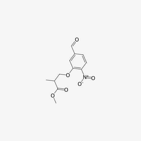 COC(=O)C(C)COc1cc(C=O)ccc1[N+](=O)[O-]